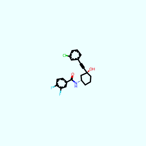 O=C(N[C@H]1CCC[C@@](O)(C#Cc2cccc(Cl)c2)C1)c1ccc(F)c(F)c1